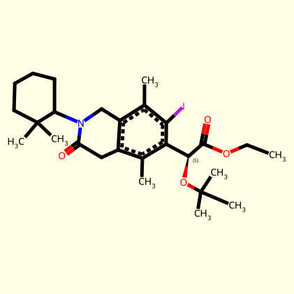 CCOC(=O)[C@@H](OC(C)(C)C)c1c(C)c2c(c(C)c1I)CN(C1CCCCC1(C)C)C(=O)C2